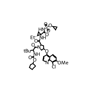 CC[C@@H]1C[C@]1(NC(=O)C1CC(Oc2ccnc3c(Cl)c(OC)ccc23)CN1C(=O)C(NC(=O)OC1CCCC1)C(C)(C)C)C(=O)NS(=O)(=O)OC1CC1